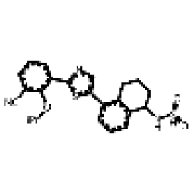 CC(C)Oc1c(C#N)cccc1-c1ncc(-c2cccc3c2CCCC3N[SH](=O)=O)s1